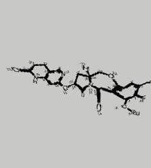 CCC(C)Oc1c(F)c(C)cc2c1C(=O)N1C[C@@H](Oc3cc4c(cn3)CCC(=O)N4)C[C@@H]1CO2